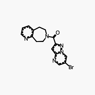 O=C(c1cc2ncc(Br)cn2n1)N1CCc2cccnc2CC1